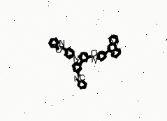 c1ccc2c(c1)cc(-c1ccc3nc(-c4ccc5c(c4)c4cc(-c6nc7ccccc7o6)ccc4n5-c4ccc(-c5nc6ccccc6o5)cc4)oc3c1)c1ccccc12